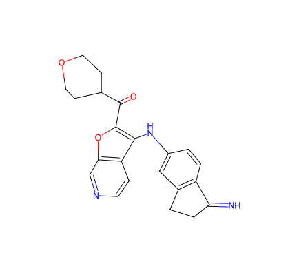 N=C1CCc2cc(Nc3c(C(=O)C4CCOCC4)oc4cnccc34)ccc21